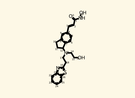 O=C(C=Cc1ccc2c(c1)CCC2N(CCO)CCc1nc2ccccc2s1)NO